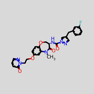 CN1C(=O)[C@@H](NC(=O)n2cc(Cc3cccc(F)c3)cn2)COc2ccc(OCCn3ncccc3=O)cc21